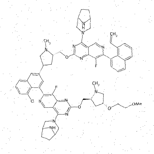 C=Cc1cccc2cccc(-c3ncc4c(N5CC6CCC(C5)N6)nc(OC[C@@H]5CC(c6cc(-c7ncc8c(N9CC%10CCC(C9)N%10)nc(OC[C@@H]9C[C@@H](OCCOC)CN9C)nc8c7F)c7c(Cl)cccc7c6)CN5C)nc4c3F)c12